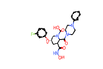 O=C(NO)C1C[C@H](Oc2cccc(F)c2)CN(C(=O)O)C1C(=O)N1CCN(c2ccccc2)CC1